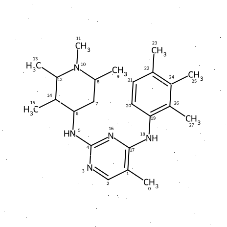 Cc1cnc(NC2CC(C)N(C)C(C)C2C)nc1Nc1ccc(C)c(C)c1C